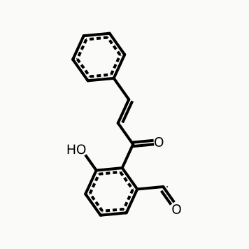 O=[C]c1cccc(O)c1C(=O)C=Cc1ccccc1